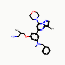 CC(C)c1cnn2c(N3CCOCC3)cc(-c3cc(OCC(CN)N=O)cc(N(C)Cc4ccccc4)c3)nc12